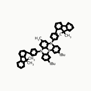 Cc1cc2c3c(c1)N(c1ccc(-c4cccc5c4C(C)(C)c4ccccc4-5)cc1)c1ccc(C(C)(C)C)cc1B3c1cc(C(C)(C)C)ccc1N2c1ccc(-c2cccc3c2C(C)(C)c2ccccc2-3)cc1